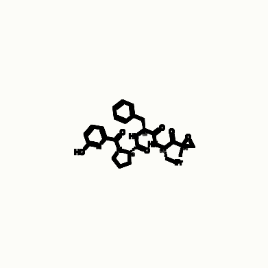 CC(C)C[C@H](NC(=O)[C@H](Cc1ccccc1)NC(=O)[C@@H]1CCCN1C(=O)c1cccc(O)n1)C(=O)[C@@]1(C)CO1